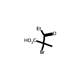 CCC(=O)C(C)(Br)C(=O)O